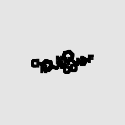 O=C([C@@H]1CCCc2nn(Cc3ccc(Cl)nc3)c(=O)n21)N1CC(F)C1